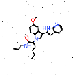 CCCCC(C(=O)NCCC)n1cc(-c2cc3cccnc3[nH]2)c2cc(OC)ccc21